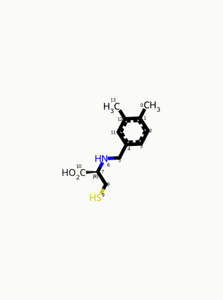 Cc1ccc(CN[C@@H](CS)C(=O)O)cc1C